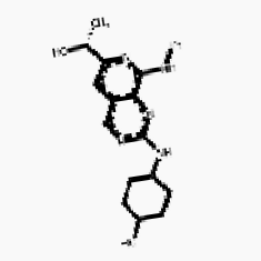 CC(C)Nc1nc([C@@H](C)O)cc2cnc(NC3CCC(O)CC3)nc12